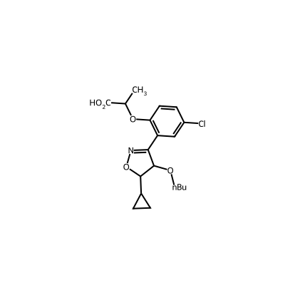 CCCCOC1C(c2cc(Cl)ccc2OC(C)C(=O)O)=NOC1C1CC1